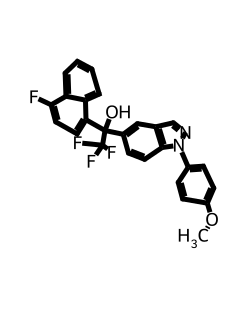 COc1ccc(-n2ncc3cc(C(O)(c4ccc(F)c5ccccc45)C(F)(F)F)ccc32)cc1